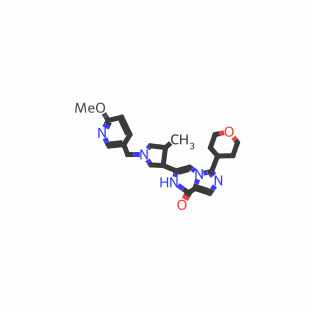 COc1ccc(CN2CC(C)C(c3cn4c(C5CCOCC5)ncc4c(=O)[nH]3)C2)cn1